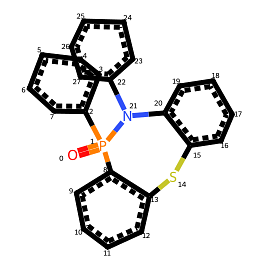 O=P1(c2ccccc2)c2ccccc2Sc2ccccc2N1c1ccccc1